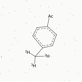 [2H]C([2H])([2H])c1ccc(C(C)=O)cc1